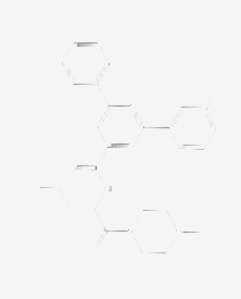 CCOC(=O)N1CCN(C(=O)[C@H](CCC(=O)O)NC(=O)c2cc(-c3ccc[n+]([O-])c3)nc(-c3ccccc3)n2)CC1